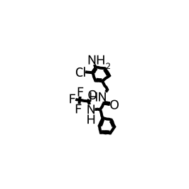 Nc1ccc(CNC(=O)C(NC(=O)C(F)(F)F)c2ccccc2)cc1Cl